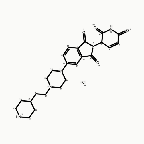 Cl.O=C1C=CC(N2C(=O)c3ccc(N4CCN(CCC5CCNCC5)CC4)cc3C2=O)C(=O)N1